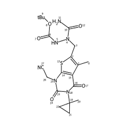 Cc1c(CN(NC(=O)OC(C)(C)C)C(N)=O)sc2c1c(=O)n(C1(C)CC1)c(=O)n2CC#N